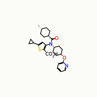 C[C@H]1CC[C@H](C(=O)N(c2cc(C3CC3)sc2C(=O)O)[C@H]2CC[C@H](Oc3ccccn3)CC2)CC1